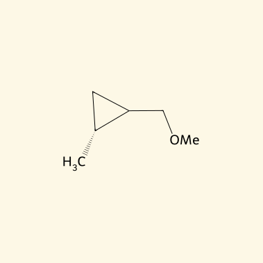 COCC1C[C@H]1C